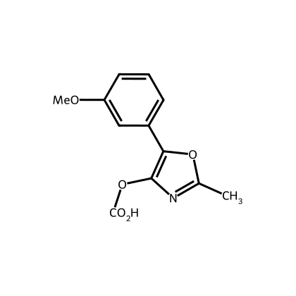 COc1cccc(-c2oc(C)nc2OC(=O)O)c1